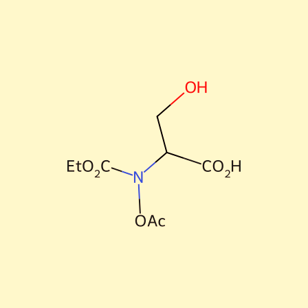 CCOC(=O)N(OC(C)=O)C(CO)C(=O)O